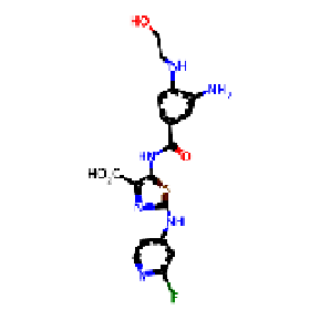 Nc1cc(C(=O)Nc2sc(Nc3ccnc(F)c3)nc2C(=O)O)ccc1NCCO